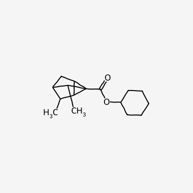 CC1C2CC3C1C3(C(=O)OC1CCCCC1)C2C